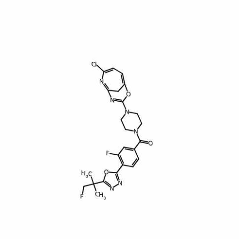 CC(C)(CF)c1nnc(-c2ccc(C(=O)N3CCN(C4=NC5=NC(Cl)=CC=C(C5)O4)CC3)cc2F)o1